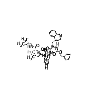 CCC(C)CNC(=O)C[C@H](O)[C@H](CC(C)C)NC(=O)[C@H](Cc1c[nH]cn1)NC(=O)[C@H](Cc1ccnc2ccccc12)NC(=O)OCc1ccccc1